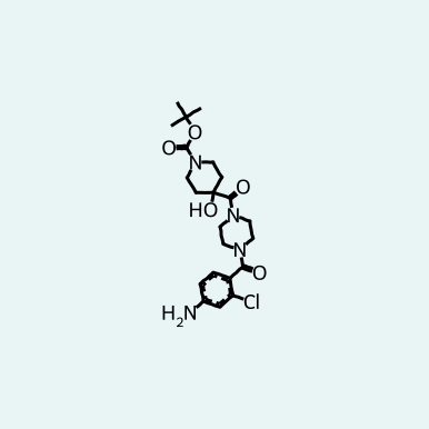 CC(C)(C)OC(=O)N1CCC(O)(C(=O)N2CCN(C(=O)c3ccc(N)cc3Cl)CC2)CC1